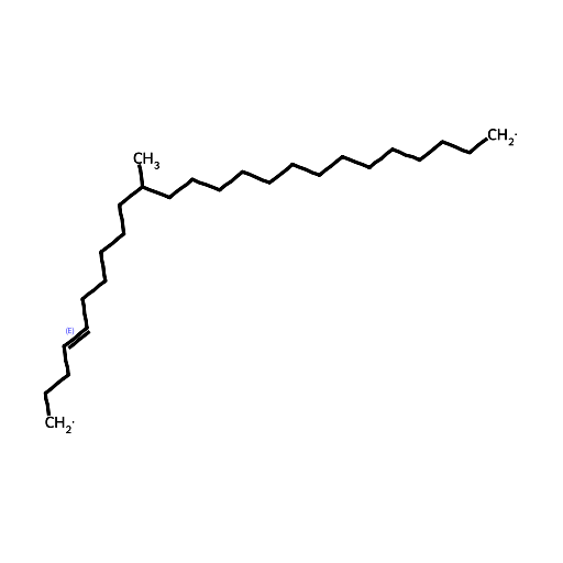 [CH2]CC/C=C/CCCCCC(C)CCCCCCCCCCCCC[CH2]